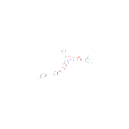 Cc1nccc(Oc2ccc(CC(NC(=O)[C@@H]3Cc4cc5c(cc4CN3C(=O)NC3CCC(F)(F)CC3)O[C@@H](c3ccc(OCc4ccc(Cl)c(Cl)c4)cc3)CO5)C(=O)O)cc2)c1C